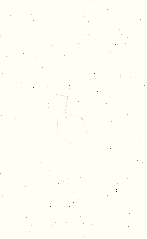 CCN1CCN2CCCC2C1=O